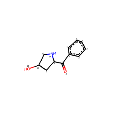 O=C(c1ccccc1)C1CC(O)CN1